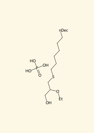 CCCCCCCCCCCCCCCCSCC(CO)OCC.O=P(O)(O)O